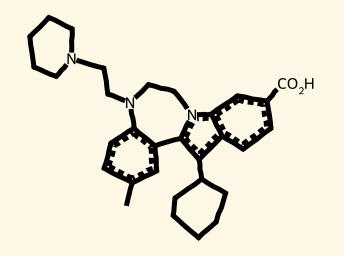 Cc1ccc2c(c1)-c1c(C3CCCCC3)c3ccc(C(=O)O)cc3n1CCN2CCN1CCCCC1